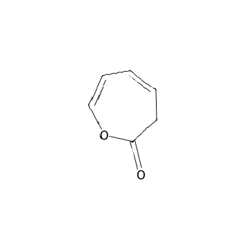 O=C1CC=CC=CO1